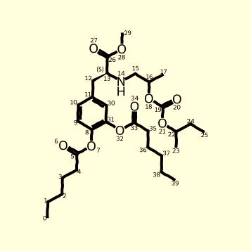 CCCCCC(=O)Oc1ccc(C[C@H](NCC(C)OC(=O)OC(C)CC)C(=O)OC)cc1OC(=O)CCCCC